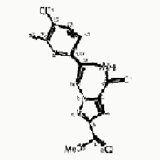 COC(=O)c1cc2c(=O)[nH]c(-c3ccc(Cl)c(C)c3)cn2n1